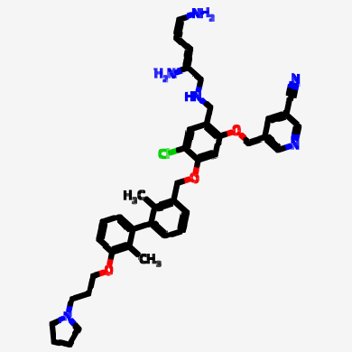 Cc1c(COc2cc(OCc3cncc(C#N)c3)c(CNC/C(N)=C/C=C\N)cc2Cl)cccc1-c1cccc(OCCCN2CCCC2)c1C